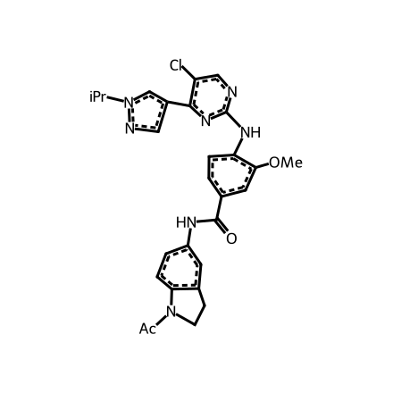 COc1cc(C(=O)Nc2ccc3c(c2)CCN3C(C)=O)ccc1Nc1ncc(Cl)c(-c2cnn(C(C)C)c2)n1